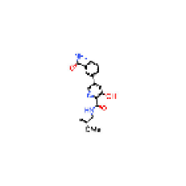 C=C(CNC(=O)c1ncc(-c2cccc(C(N)=O)c2)cc1O)OC